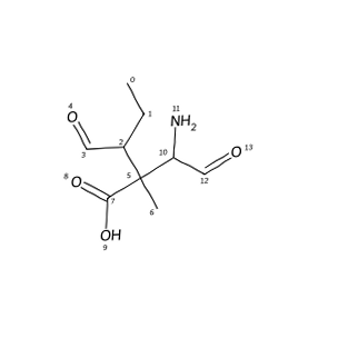 CCC(C=O)C(C)(C(=O)O)C(N)C=O